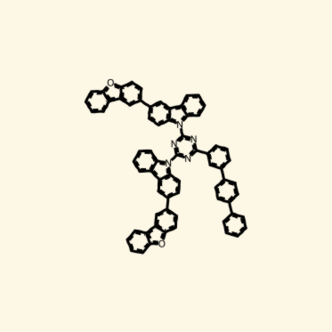 c1ccc(-c2ccc(-c3cccc(-c4nc(-n5c6ccccc6c6cc(-c7ccc8oc9ccccc9c8c7)ccc65)nc(-n5c6ccccc6c6cc(-c7ccc8oc9ccccc9c8c7)ccc65)n4)c3)cc2)cc1